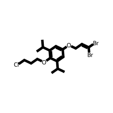 CC(C)c1cc(OCC=C(Br)Br)cc(C(C)C)c1OCCCCl